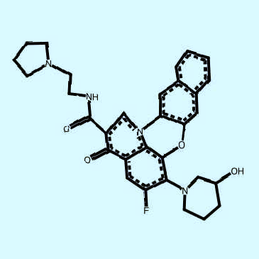 O=C(NCCN1CCCC1)c1cn2c3c(c(N4CCCC(O)C4)c(F)cc3c1=O)Oc1cc3ccccc3cc1-2